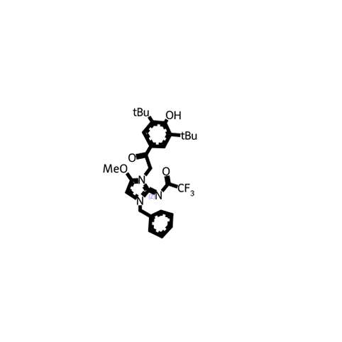 COc1cn(Cc2ccccc2)/c(=N/C(=O)C(F)(F)F)n1CC(=O)c1cc(C(C)(C)C)c(O)c(C(C)(C)C)c1